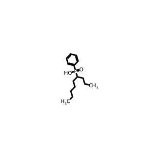 CCCCCC(CCC)P(=O)(O)c1ccccc1